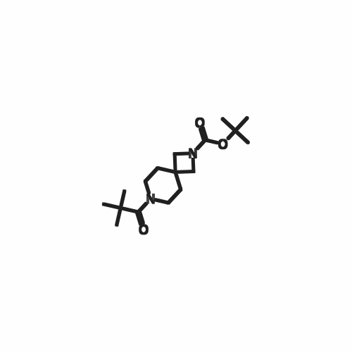 CC(C)(C)OC(=O)N1CC2(CCN(C(=O)C(C)(C)C)CC2)C1